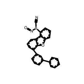 N#CB(N=O)c1cccc2oc3c(-c4cccc(-c5ccccc5)c4)cccc3c12